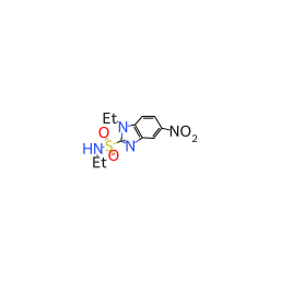 CCNS(=O)(=O)c1nc2cc([N+](=O)[O-])ccc2n1CC